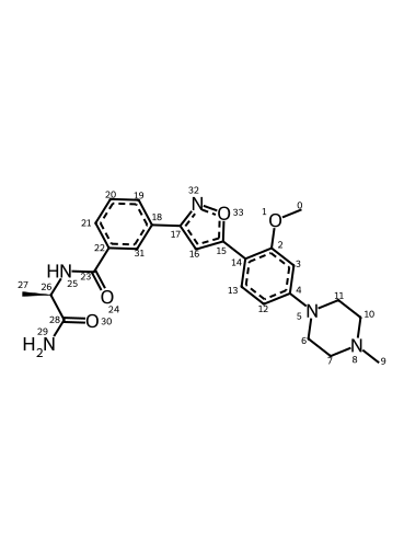 COc1cc(N2CCN(C)CC2)ccc1-c1cc(-c2cccc(C(=O)N[C@H](C)C(N)=O)c2)no1